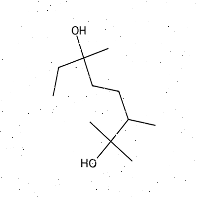 CCC(C)(O)CCC(C)C(C)(C)O